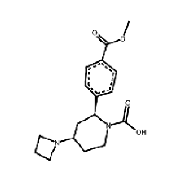 COC(=O)c1ccc([C@@H]2CC(N3CCC3)CCN2C(=O)O)cc1